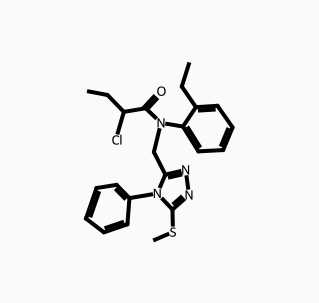 CCc1ccccc1N(Cc1nnc(SC)n1-c1ccccc1)C(=O)C(Cl)CC